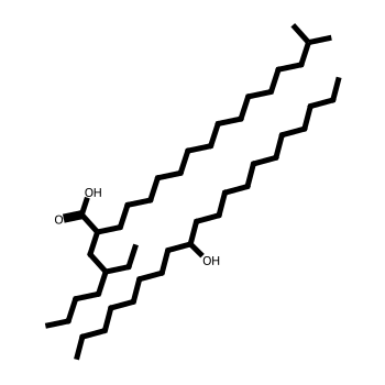 CCCCC(CC)CC(CCCCCCCCCCCCCC(C)C)C(=O)O.CCCCCCCCCCCC(O)CCCCCCCC